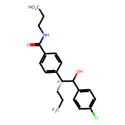 O=C(O)CCNC(=O)c1ccc([C@@H](CCC(F)(F)F)C(O)c2ccc(Cl)cc2)cc1